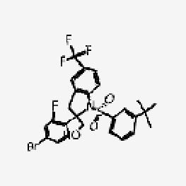 CC(C)(C)c1cccc(S(=O)(=O)N2c3ccc(C(F)(F)F)cc3CC2(CO)c2ccc(Br)cc2F)c1